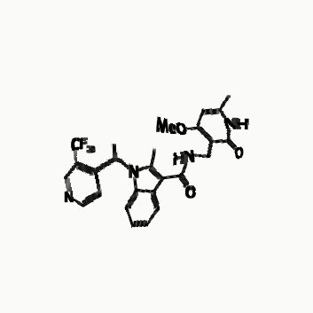 COc1cc(C)[nH]c(=O)c1CNC(=O)c1c(C)n(C(C)c2ccncc2C(F)(F)F)c2ccccc12